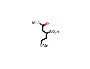 COCCC(CC(=O)OC)C(=O)O